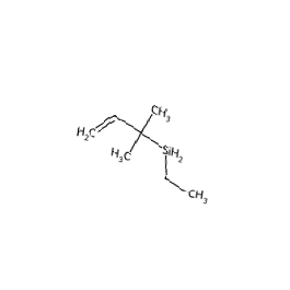 C=CC(C)(C)[SiH2]CC